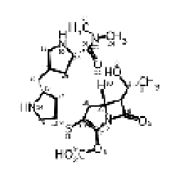 C[C@@H](O)[C@H]1C(=O)N2C(OC(=O)O)=C(S[C@@H]3CN[C@H](CC4CN[C@H](C(=O)N(C)C)C4)C3)C[C@H]12